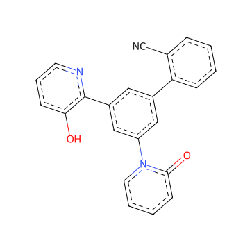 N#Cc1ccccc1-c1cc(-c2ncccc2O)cc(-n2ccccc2=O)c1